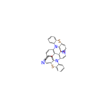 N#Cc1ccc(N2c3ccccc3Sc3ccccc32)c(-c2cnccc2N2c3ccccc3Sc3ccccc32)c1